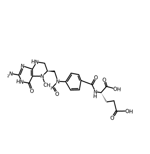 CN1c2c(nc(N)[nH]c2=O)NC[C@H]1CN(C=O)c1ccc(C(=O)N[C@@H](CCC(=O)O)C(=O)O)cc1